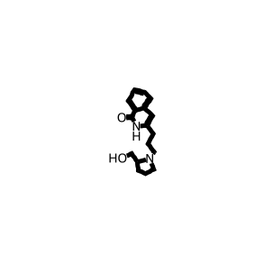 O=c1[nH]c(CCCN2CCCC2CO)cc2ccccc12